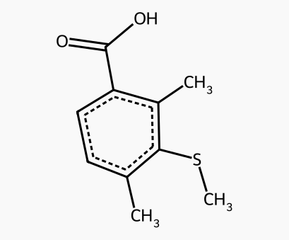 CSc1c(C)ccc(C(=O)O)c1C